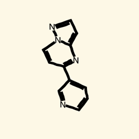 c1cncc(-c2ccn3nccc3n2)c1